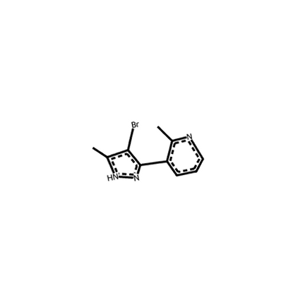 Cc1ncccc1-c1n[nH]c(C)c1Br